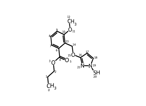 CCCOC(=O)c1cccc(OC)c1COc1ccn(S)n1